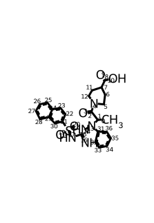 CC(C(=O)N1CCC(C(=O)O)CC1)N(NC(=N)NS(=O)(=O)c1ccc2ccccc2c1)c1ccccc1